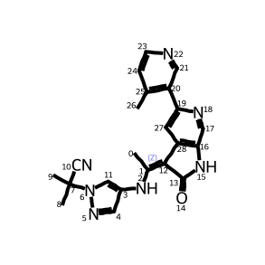 C/C(Nc1cnn(C(C)(C)C#N)c1)=C1/C(=O)Nc2cnc(-c3cnccc3C)cc21